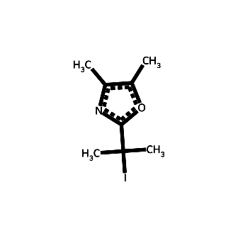 Cc1nc(C(C)(C)I)oc1C